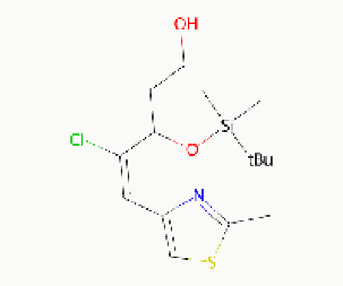 Cc1nc(/C=C(/Cl)C(CCO)O[Si](C)(C)C(C)(C)C)cs1